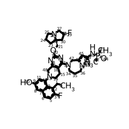 CCc1c(F)ccc2cc(O)cc(N3CCc4c(nc(OC[C@@]56CCCN5C[C@H](F)C6)nc4N4CCCn5nc(NP(C)(C)=O)cc5C4)C3)c12